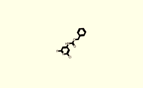 O=C(Nc1cc(F)nc(Cl)c1)OCc1ccccc1